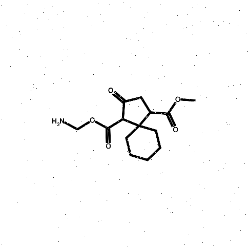 COC(=O)C1CC(=O)C(C(=O)OCN)C12CCCCC2